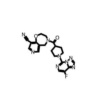 N#Cc1cncc2c1OCCN(C(=O)C1CCN(c3ncc(F)c4ncnn34)CC1)C2